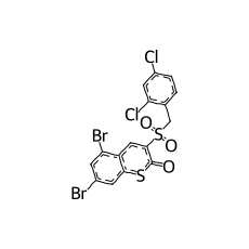 O=c1sc2cc(Br)cc(Br)c2cc1S(=O)(=O)Cc1ccc(Cl)cc1Cl